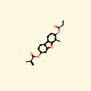 C=C(C)C(=O)Oc1ccc2c(c1)oc1c(C)c(OC(=O)CC)ccc12